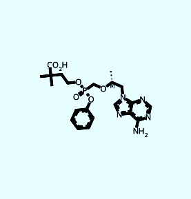 C[C@H](Cn1cnc2c(N)ncnc21)OCP(=O)(OCCC(C)(C)C(=O)O)Oc1ccccc1